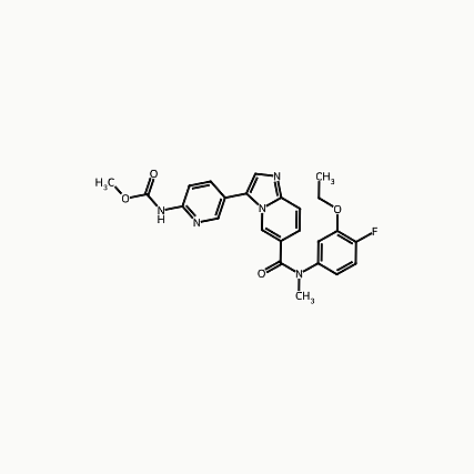 CCOc1cc(N(C)C(=O)c2ccc3ncc(-c4ccc(NC(=O)OC)nc4)n3c2)ccc1F